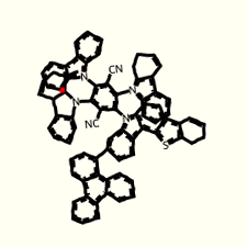 CC1CC=CC2c3ccccc3N(c3c(C#N)c(-n4c5cc(-c6cccc7c8ccccc8c8ccccc8c67)ccc5c5c6sc7c(c6ccc54)C=CCC7)c(-n4c5c(c6ccccc64)C=CCC5)c(C#N)c3-n3c4ccccc4c4ccccc43)C12